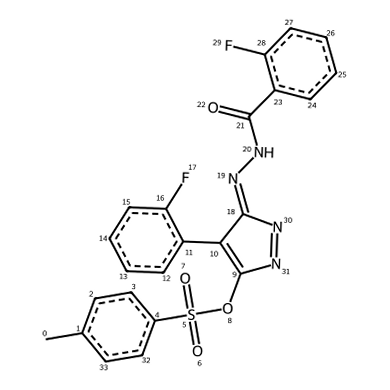 Cc1ccc(S(=O)(=O)OC2=C(c3ccccc3F)/C(=N/NC(=O)c3ccccc3F)N=N2)cc1